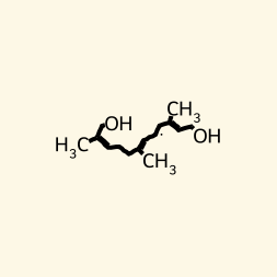 CC(=CCCC(C)=C[CH]CC(C)=CCO)CO